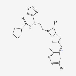 CCC1C2CC(/C=C3/CC(C(C)C)=NN=C3C)CC2N1CC[C@H](NC(=O)C1CCCC1)c1cscn1